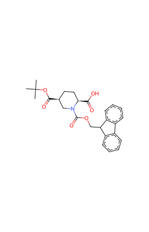 CC(C)(C)OC(=O)[C@H]1CC[C@@H](C(=O)O)N(C(=O)OCC2c3ccccc3-c3ccccc32)C1